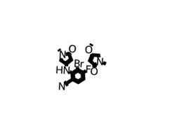 CN1CC(Nc2c(C#N)ccc(F)c2Br)=CC1=O.COC1=CC(=O)N(C)C1